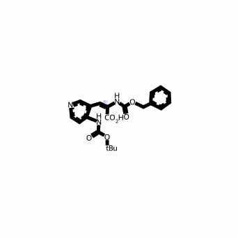 CC(C)(C)OC(=O)Nc1ccncc1/C=C(/NC(=O)OCc1ccccc1)C(=O)O